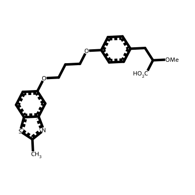 COC(Cc1ccc(OCCCOc2ccc3sc(C)nc3c2)cc1)C(=O)O